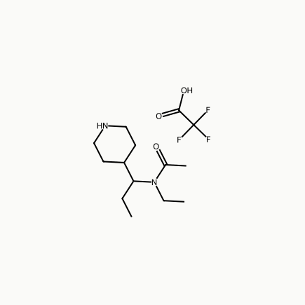 CCC(C1CCNCC1)N(CC)C(C)=O.O=C(O)C(F)(F)F